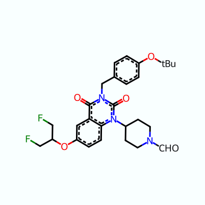 CC(C)(C)Oc1ccc(Cn2c(=O)c3cc(OC(CF)CF)ccc3n(C3CCN(C=O)CC3)c2=O)cc1